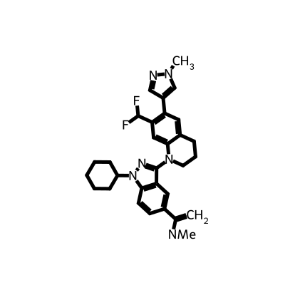 C=C(NC)c1ccc2c(c1)c(N1CCCc3cc(-c4cnn(C)c4)c(C(F)F)cc31)nn2C1CCCCC1